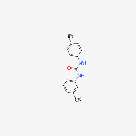 CC(C)c1ccc(NC(=O)Nc2cccc(C#N)c2)cc1